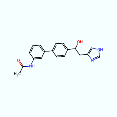 CC(=O)Nc1cccc(-c2ccc(C(O)Cc3c[nH]cn3)cc2)c1